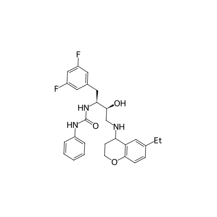 CCc1ccc2c(c1)C(NC[C@H](O)[C@H](Cc1cc(F)cc(F)c1)NC(=O)Nc1ccccc1)CCO2